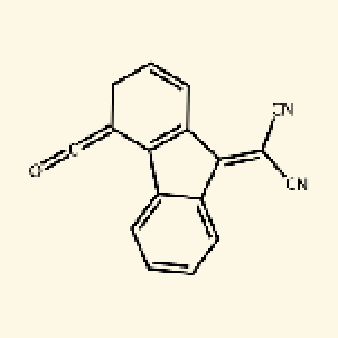 N#CC(C#N)=C1C2=C(C(=C=O)CC=C2)c2ccccc21